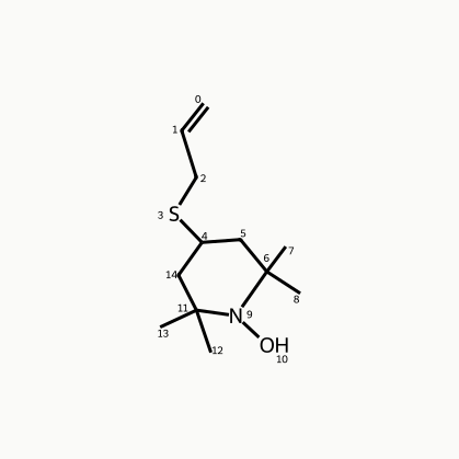 C=CCSC1CC(C)(C)N(O)C(C)(C)C1